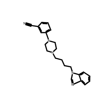 N#Cc1cccc(N2CCN(CCCCn3cnc4ccccc43)CC2)c1